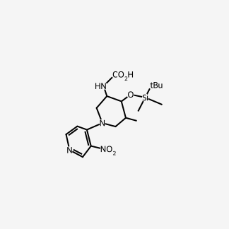 CC1CN(c2ccncc2[N+](=O)[O-])CC(NC(=O)O)C1O[Si](C)(C)C(C)(C)C